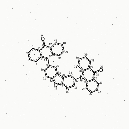 O=c1c2ccccc2n(-c2ccc3oc4ncc(-n5c6ccccc6c(=O)c6ccccc65)cc4c3c2)c2ccccc12